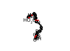 Cc1c(OCCCCC2CCN(CC3CCN(c4cc5c(cc4F)C(=O)N(C4CCC(=O)NC4=O)C5=O)CC3)CC2)cccc1-c1ccc(N2CCc3cccc(C(=O)Nc4nc5ccccc5s4)c3C2)nc1C(=O)O